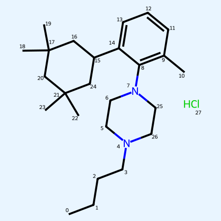 CCCCN1CCN(c2c(C)cccc2C2CC(C)(C)CC(C)(C)C2)CC1.Cl